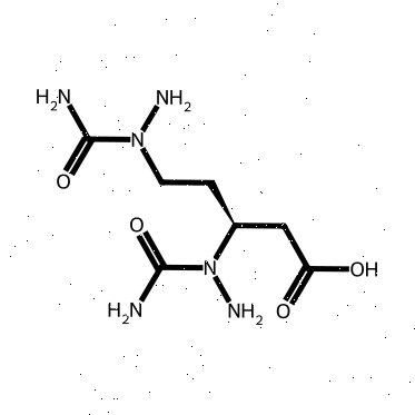 NC(=O)N(N)CC[C@@H](CC(=O)O)N(N)C(N)=O